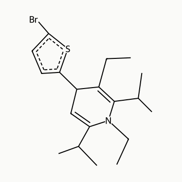 CCC1=C(C(C)C)N(CC)C(C(C)C)=CC1c1ccc(Br)s1